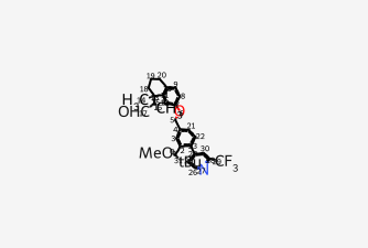 CO[C@@H](c1cc(COc2ccc3c(c2)[C@](C)(C(C)C=O)CCC3)ccc1-c1ccnc(C(F)(F)F)c1)C(C)(C)C